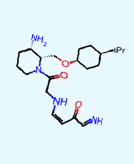 CC(C)[C@H]1CC[C@@H](OC[C@H]2[C@@H](N)CCCN2C(=O)CN/C=C\C(=O)C=N)CC1